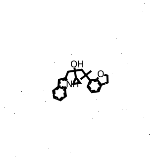 CC(C)(CC(O)(Cc1cc2ccccc2[nH]1)C1CC1)c1cccc2c1OCC2